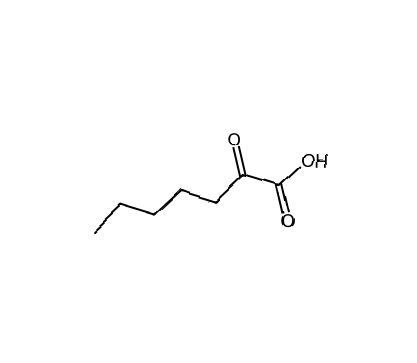 CCCCCC(=O)C(=O)O